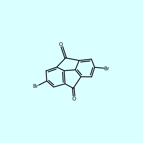 O=c1c2cc(Br)cc3c2-c2c1cc(Br)cc2c3=O